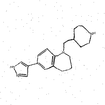 c1cc2c(cc1-c1cn[nH]c1)CCCN2CC1CCNCC1